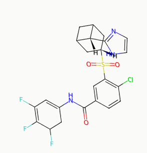 O=C(NC1=CC(F)=C(F)C(F)C1)c1ccc(Cl)c(S(=O)(=O)[C@H]2CC3CC(C2)[C@H]3c2ncc[nH]2)c1